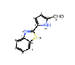 O=Cc1ccc(-c2nc3ccccc3s2)[nH]1